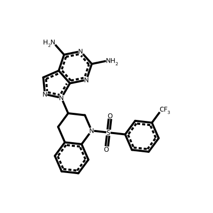 Nc1nc(N)c2cnn(C3Cc4ccccc4N(S(=O)(=O)c4cccc(C(F)(F)F)c4)C3)c2n1